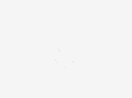 O=C(O)Cn1nnnc1-c1ccccc1-c1ccccc1